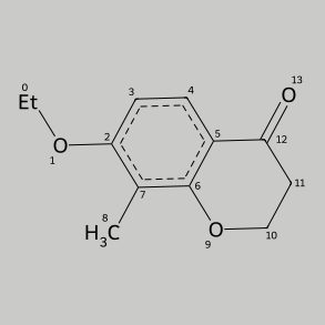 CCOc1ccc2c(c1C)OCCC2=O